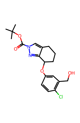 CC(C)(C)OC(=O)n1cc2c(n1)C(Oc1ccc(Cl)c(CO)c1)CCC2